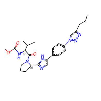 CCCc1cn(-c2ccc(-c3cnc([C@@H]4CCCN4C(=O)[C@@H](NC(=O)OC)C(C)C)[nH]3)cc2)nn1